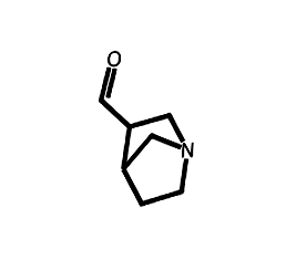 O=CC1CN2CCC1C2